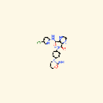 N=C1OCCCN1c1ccc(NC(=O)c2nccnc2C(=O)Nc2ccc(Cl)cn2)cc1